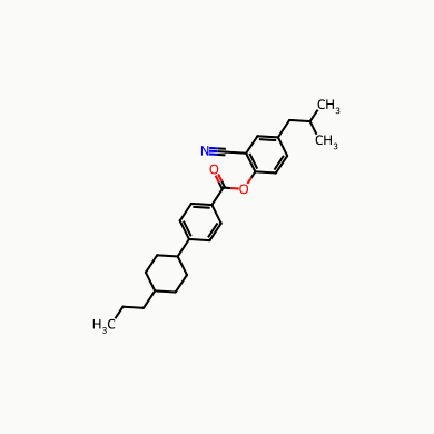 CCCC1CCC(c2ccc(C(=O)Oc3ccc(CC(C)C)cc3C#N)cc2)CC1